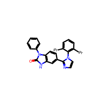 CC(C)c1cccc(C(C)C)c1-n1ccnc1-c1ccc2c(c1)[nH]c(=O)n2-c1ccccc1